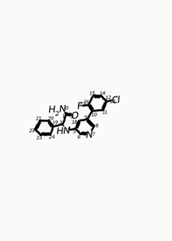 NC(=O)[C@H](Nc1cncc(-c2cc(Cl)ccc2F)c1)c1ccccc1